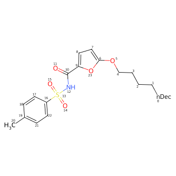 CCCCCCCCCCCCCCOc1ccc(C(=O)NS(=O)(=O)c2ccc(C)cc2)o1